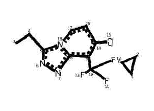 C1CC1.CCc1nnc2c(C(F)(F)F)c(Cl)ccn12